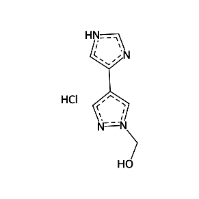 Cl.OCn1cc(-c2c[nH]cn2)cn1